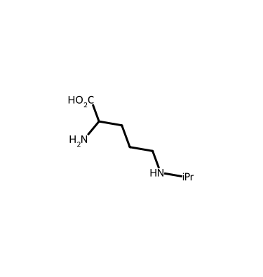 CC(C)NCCCC(N)C(=O)O